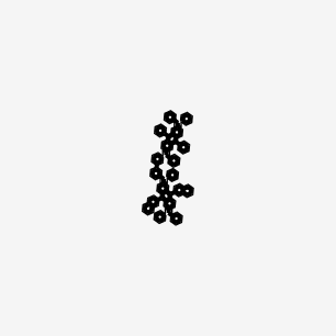 c1ccc(-c2c3ccc(N(c4ccccc4)c4cccc(-c5cccc(N(c6ccccc6)c6ccc7c(-c8ccc9ccccc9c8)c8cc(N(c9ccccc9)c9ccccc9)ccc8c(-c8ccc9ccccc9c8)c7c6)c5)c4)cc3c(-c3ccccc3)c3ccc(N(c4ccccc4)c4ccccc4)cc23)cc1